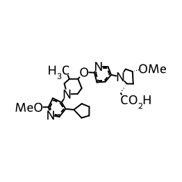 COc1cc(N2CCC(Oc3ccc(N4C[C@H](OC)C[C@@H]4CC(=O)O)cn3)C(C)C2)c(C2CCCC2)cn1